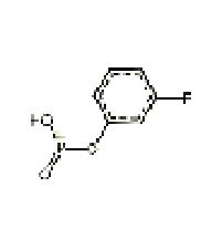 O=[PH](O)Oc1cccc(F)c1